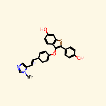 CCCn1cncc1/C=C/C1C=CC(Oc2c(-c3ccc(O)cc3)sc3cc(O)ccc23)=CC1